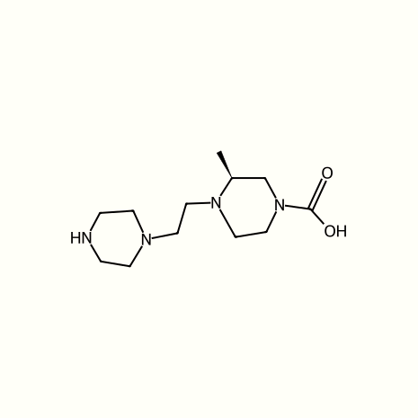 C[C@H]1CN(C(=O)O)CCN1CCN1CCNCC1